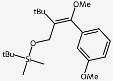 COC(=C(CO[Si](C)(C)C(C)(C)C)C(C)(C)C)c1cccc(OC)c1